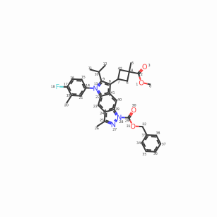 COC(=O)C1(C)CC(c2c(C(C)C)n(-c3ccc(F)c(C)c3)c3cc4c(C)nn(C(=O)OCc5ccccc5)c4cc23)C1